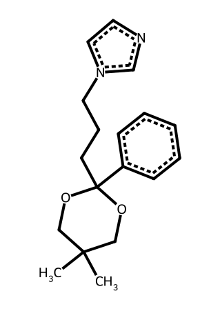 CC1(C)COC(CCCn2ccnc2)(c2ccccc2)OC1